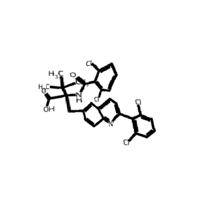 CC(C)(C)C(Cc1ccc2nc(-c3c(Cl)cccc3Cl)ccc2c1)(NC(=O)c1c(Cl)cccc1Cl)C(=O)O